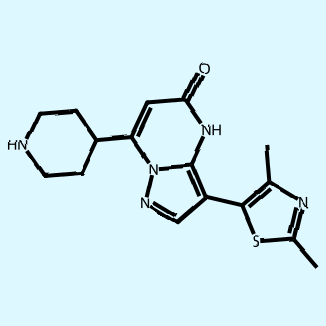 Cc1nc(C)c(-c2cnn3c(C4CCNCC4)cc(=O)[nH]c23)s1